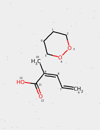 C1CCOOC1.C=CC=C(C)C(=O)O